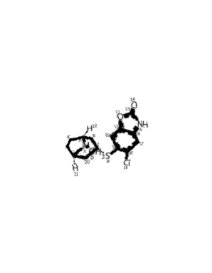 CN1[C@@H]2CC[C@H]1C[C@H](Sc1cc3oc(=O)[nH]c3cc1Cl)C2